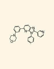 [c]1ccc(-n2c(-c3cccnc3)nc3ccc(-c4cccc(N5CCOCC5)c4)nc32)cc1